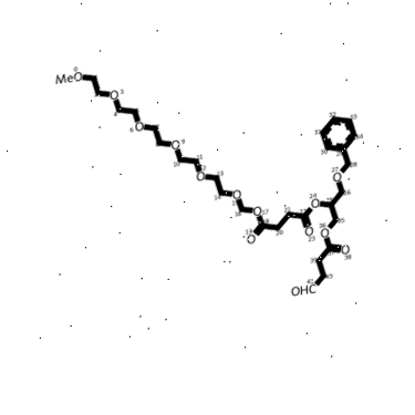 COCCOCCOCCOCCOCCOCOC(=O)CCC(=O)OC(COCc1ccccc1)COC(=O)CCC=O